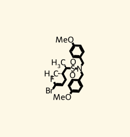 COc1ccc(CN(Cc2ccc(OC)cc2)S(=O)(=O)[C@H](C)[C@@H](C)C/C=C(\F)Br)cc1